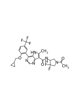 CC(=O)N1CC(NC(=O)c2c(C)[nH]c3c(-c4cc(C(F)(F)F)ccc4OCC4CC4)ncnc23)C(F)(F)C1